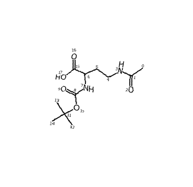 CC(=O)NCCC(NC(=O)OC(C)(C)C)C(=O)O